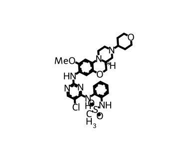 COc1cc2c(cc1Nc1ncc(Cl)c(Nc3ccccc3NS(C)(=O)=O)n1)OC[C@@H]1CN(C3CCOCC3)CCN21